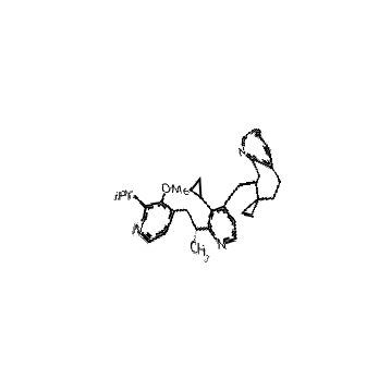 COc1c(C[C@@H](C)c2nccc(CC3c4ncccc4CCC34CC4)c2C2CC2)ccnc1C(C)C